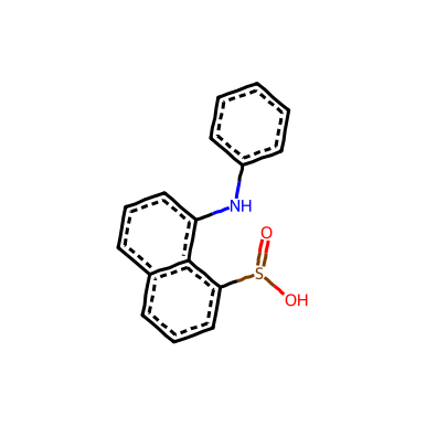 O=S(O)c1cccc2cccc(Nc3ccccc3)c12